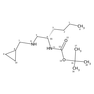 CCCC[C@@H](CNCC1CC1)NC(=O)OC(C)(C)C